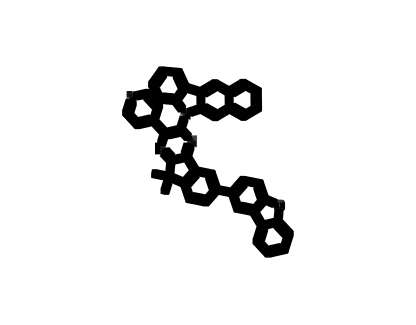 CC1(C)c2ccc(-c3ccc4oc5ccccc5c4c3)cc2-c2nc(-n3c4ccccc4c4cc5ccccc5cc43)c(-c3ccncc3)nc21